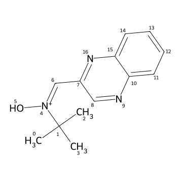 CC(C)(C)/[N+](O)=C\c1cnc2ccccc2n1